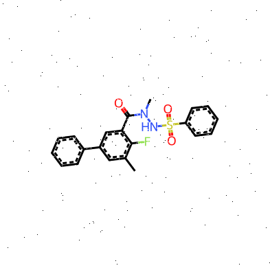 Cc1cc(-c2ccccc2)cc(C(=O)N(C)NS(=O)(=O)c2ccccc2)c1F